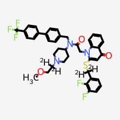 [2H]C([2H])(Sc1cc(=O)c2ccccc2n1CC(=O)N(Cc1ccc(-c2ccc(C(F)(F)F)cc2)cc1)C1CCN(C([2H])([2H])COC)CC1)c1cccc(F)c1F